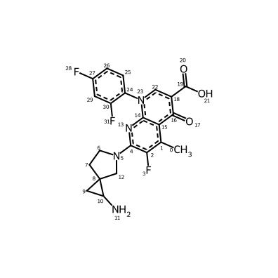 Cc1c(F)c(N2CCC3(CC3N)C2)nc2c1c(=O)c(C(=O)O)cn2-c1ccc(F)cc1F